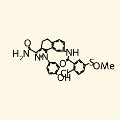 COSc1ccc(Cl)c(C(=O)Nc2ccc3c(c2)-c2c(c(C(N)=O)nn2-c2ccc(O)cc2)CC3)c1